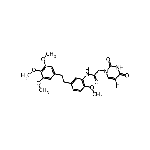 COc1ccc(CCc2cc(OC)c(OC)c(OC)c2)cc1NC(=O)Cn1cc(F)c(=O)[nH]c1=O